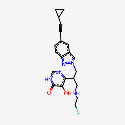 O=c1[nH]cnc(C(CNCCF)Cn2cc3cc(C#CC4CC4)ccc3n2)c1O